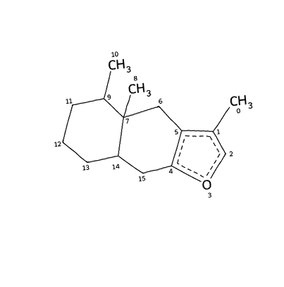 Cc1coc2c1CC1(C)C(C)CCCC1C2